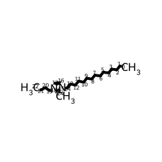 CCCCCCCCCCCCCCC[n+]1ccn(CCCC)c1C